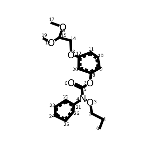 CCCON(C(=O)Oc1cccc(OCC(OC)OC)c1)c1ccccc1